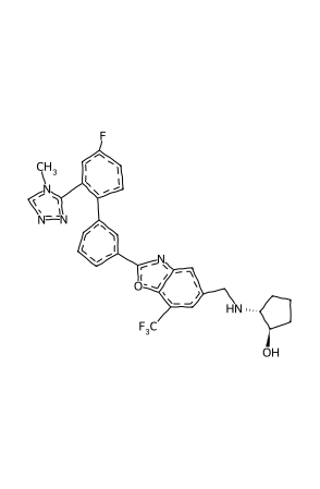 Cn1cnnc1-c1cc(F)ccc1-c1cccc(-c2nc3cc(CN[C@@H]4CCC[C@H]4O)cc(C(F)(F)F)c3o2)c1